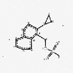 CS(=O)(=O)OCc1c(C2CC2)ccc2ccccc12